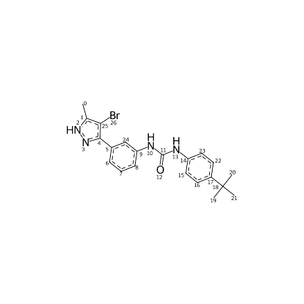 Cc1[nH]nc(-c2cccc(NC(=O)Nc3ccc(C(C)(C)C)cc3)c2)c1Br